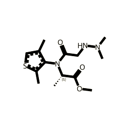 COC(=O)[C@H](C)N(C(=O)CNN(C)C)c1c(C)csc1C